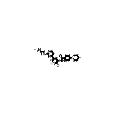 NCCNc1nccc(-c2c[nH]c(=O)c(NC(=O)c3ccc(N4CCCCC4)cc3)c2)n1